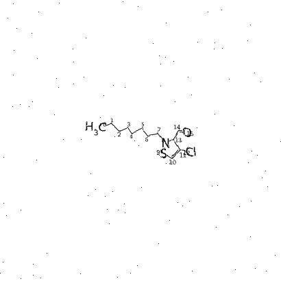 CCCCCCCCN1SC=C(Cl)C1C=O